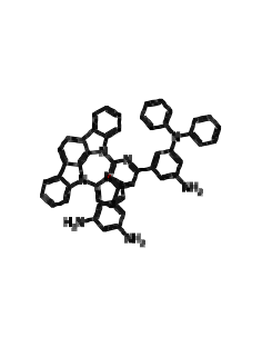 Nc1cc(N)cc(-c2cc(-c3cc(N)cc(N(c4ccccc4)c4ccccc4)c3)nc(-n3c4ccccc4c4ccc5c6ccccc6n(-c6ccccc6)c5c43)n2)c1